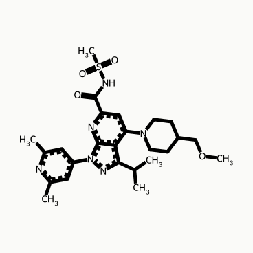 COCC1CCN(c2cc(C(=O)NS(C)(=O)=O)nc3c2c(C(C)C)nn3-c2cc(C)nc(C)c2)CC1